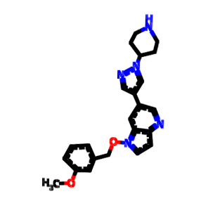 COc1cccc(COn2ccc3ncc(-c4cnn(C5CCNCC5)c4)cc32)c1